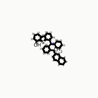 C=C(c1ccc2ccccc2c1)c1ccccc1/C(=C1/C=CC=CC1)c1cccc2c1sc1c(O)cccc12